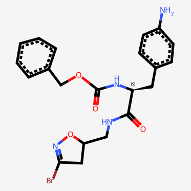 Nc1ccc(C[C@H](NC(=O)OCc2ccccc2)C(=O)NCC2CC(Br)=NO2)cc1